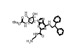 CC(C)(C)OC(=O)N[C@H]1C[C@@H](n2cnc3c(NCC(c4ccccc4)c4ccccc4)nc(C(=O)NCCN)nc32)[C@H](O)[C@@H]1O